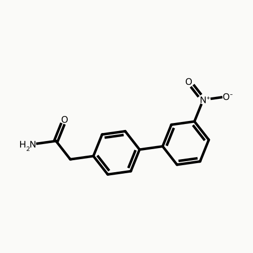 NC(=O)Cc1ccc(-c2cccc([N+](=O)[O-])c2)cc1